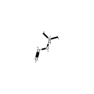 C[SiH](C)O[O+]=O